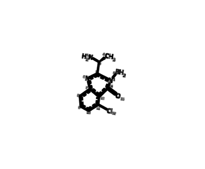 Bn1c([C@H](C)N)nc2cccc(Cl)c2c1=O